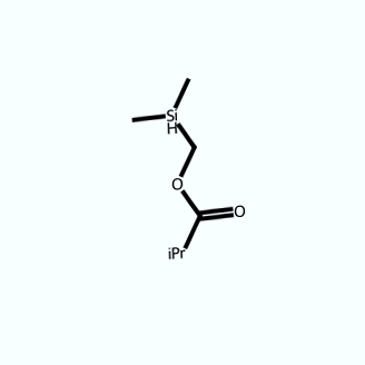 CC(C)C(=O)OC[SiH](C)C